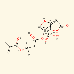 C=C(C)C(=O)OC(C)(C)CC(=O)OC1C2OC(=O)C3C2OC1C3C(=O)O